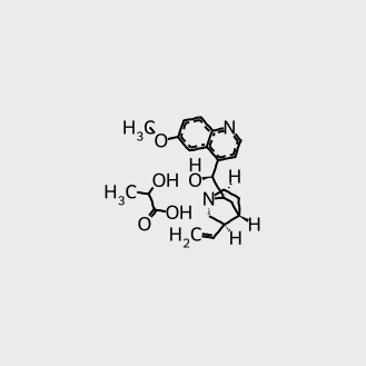 C=C[C@H]1C[N@]2CC[C@H]1C[C@@H]2[C@@H](O)c1ccnc2ccc(OC)cc12.CC(O)C(=O)O